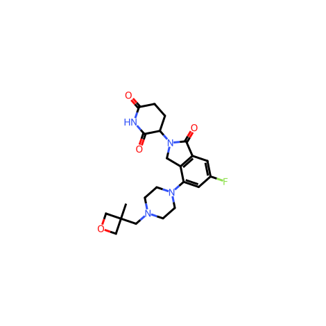 CC1(CN2CCN(c3cc(F)cc4c3CN(C3CCC(=O)NC3=O)C4=O)CC2)COC1